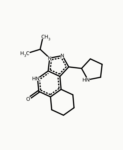 CC(C)n1nc(C2CCCN2)c2c3c(c(=O)[nH]c21)CCCC3